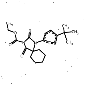 CCOC(=O)N1C(=O)C2(CCCCC2)N(c2ccc(C(C)(C)C)cc2)C1=S